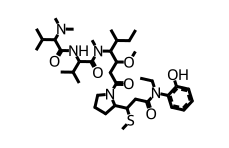 CCC(C)C(C(CC(=O)N1CCCC1C(CC(=O)N(CC)c1ccccc1O)SC)OC)N(C)C(=O)C(NC(=O)C(C(C)C)N(C)C)C(C)C